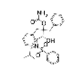 CC(C)CN(C[C@@H](O)C(Cc1ccccc1)(Cc1ccccc1)OC(N)=O)S(=O)(=O)c1ccccc1